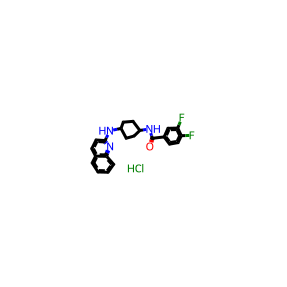 Cl.O=C(NC1CCC(Nc2ccc3ccccc3n2)CC1)c1ccc(F)c(F)c1